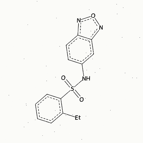 CCc1ccccc1S(=O)(=O)Nc1ccc2nonc2c1